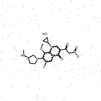 CN[C@@H]1CCN(c2c(F)cc3c(=O)c(C(=O)C[N+](=O)[O-])cn(C4CC4)c3c2OC)C1.Cl